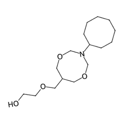 OCCOCC1COCN(C2CCCCCCC2)COC1